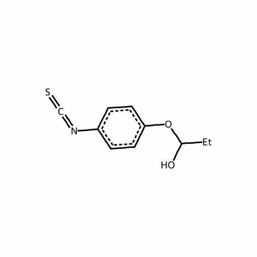 [CH2]CC(O)Oc1ccc(N=C=S)cc1